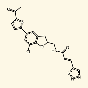 CC(=O)c1ccc(-c2cc(Cl)c3c(c2)CC(CNC(=O)C=Cc2cnns2)O3)s1